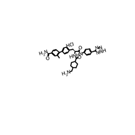 Cc1cc(C(N)=O)ccc1-c1ccc(C[C@H](NC(=O)C2CCC(CN)CC2)C(=O)Nc2ccc(-c3nn[nH]n3)cc2)cc1.Cl